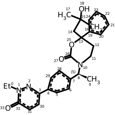 CCn1nc(-c2ccc([C@H](C)N3CCC(CC(C)(C)O)(c4ccccc4)OC3=O)cc2)ccc1=O